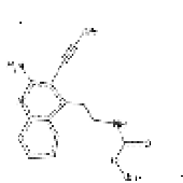 CCCC#Cc1c(N)nc2ccccc2c1CCNC(=O)OC(C)(C)C